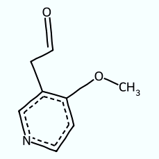 COc1ccncc1CC=O